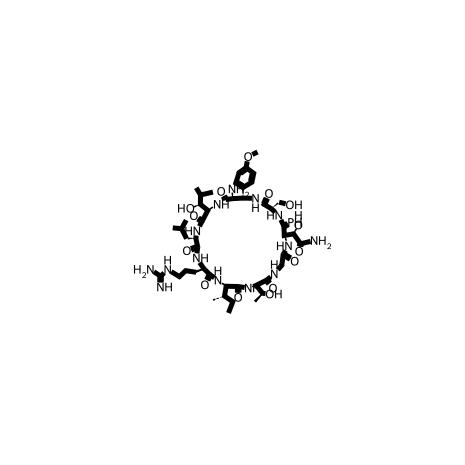 CC[C@H](C)[C@@H]1NC(=O)[C@@H](CCCNC(=N)N)NC(=O)[C@H](CC(C)C)NC(=O)[C@H]([C@H](O)C(C)C)NC(=O)[C@H](N)[C@H](c2ccc(OC)cc2)NC(=O)[C@H](CO)NC(=P)[C@H]([C@H](O)C(N)=O)NC(=O)CNC(=O)[C@H]([C@H](C)O)NC1=O